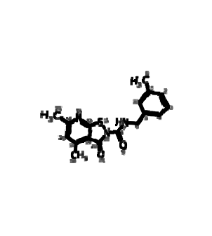 Cc1cccc(CNC(=O)n2sc3nc(C)cc(C)c3c2=O)c1